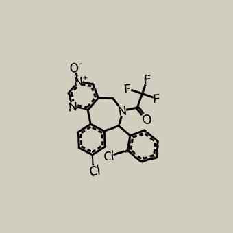 O=C(N1Cc2c[n+]([O-])cnc2-c2ccc(Cl)cc2C1c1ccccc1Cl)C(F)(F)F